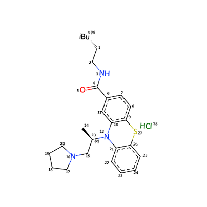 CC[C@@H](C)CCNC(=O)c1ccc2c(c1)N([C@H](C)CN1CCCC1)c1ccccc1S2.Cl